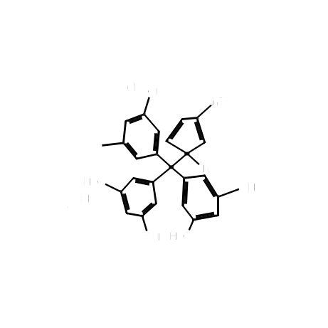 CCCC1=C[C]([Ti+3])(C(c2cc(C)cc(C)c2)(c2cc(C)cc(C)c2)c2cc(C)cc(C)c2)C=C1.[Cl-].[Cl-].[Cl-]